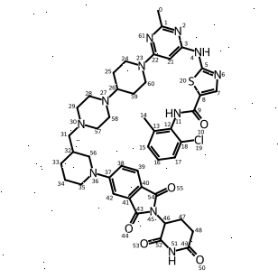 Cc1nc(Nc2ncc(C(=O)Nc3c(C)cccc3Cl)s2)cc(N2CCC(N3CCN(CC4CCCN(c5ccc6c(c5)C(=O)N(C5CCC(=O)NC5=O)C6=O)C4)CC3)CC2)n1